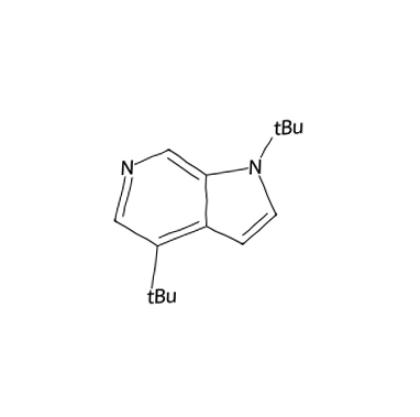 CC(C)(C)c1cncc2c1ccn2C(C)(C)C